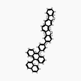 C1=CC2C=CC=C(c3c4ccccc4c(-c4ccc(-c5ccc6oc7c8cc9oc%10ccccc%10c9cc8ccc7c6c5)cc4)c4ccccc34)C2C=C1